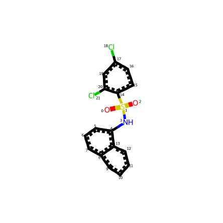 O=S(=O)(Nc1cccc2ccccc12)c1ccc(Cl)cc1Cl